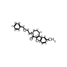 Cc1ccc2oc3c(c2c1)CCCN(CCOCc1ccccc1)C3=O